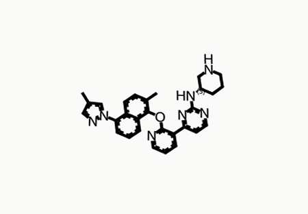 Cc1cnn(-c2cccc3c(Oc4ncccc4-c4ccnc(N[C@H]5CCCNC5)n4)c(C)ccc23)c1